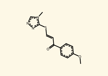 COc1ccc(C(=O)/C=C/Sc2nncn2C)cc1